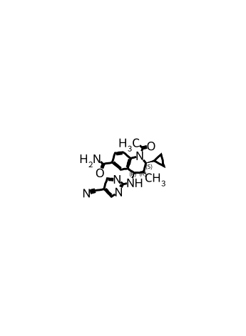 CC(=O)N1c2ccc(C(N)=O)cc2[C@H](Nc2ncc(C#N)cn2)[C@@H](C)[C@@H]1C1CC1